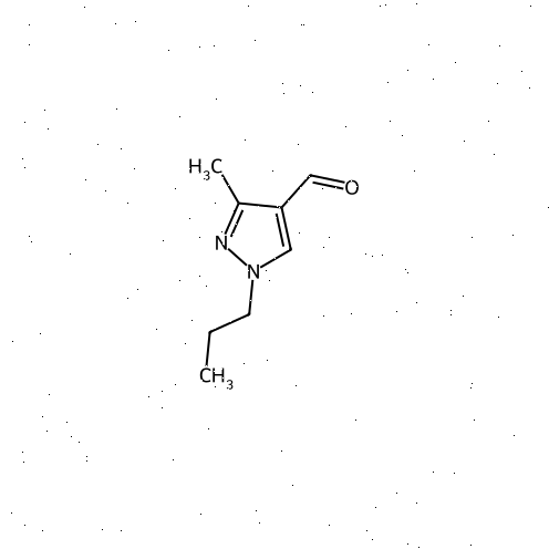 CCCn1cc(C=O)c(C)n1